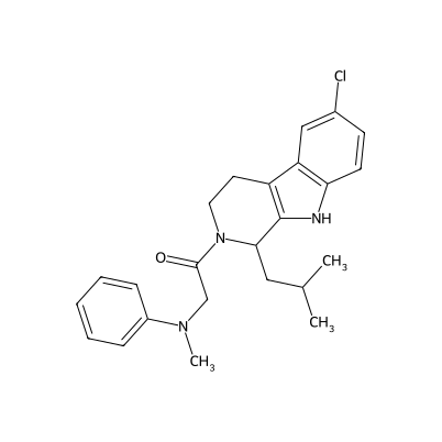 CC(C)CC1c2[nH]c3ccc(Cl)cc3c2CCN1C(=O)CN(C)c1ccccc1